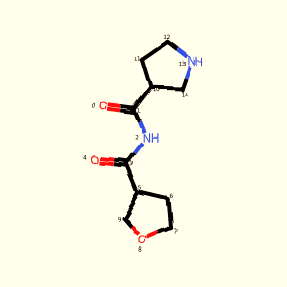 O=C(NC(=O)C1CCOC1)C1CCNC1